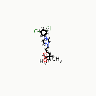 CCC1(CC)CC(CCN2CCN(c3cc(Cl)cc(Cl)c3)CC2)OC1=O